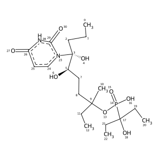 CCC[C@@](O)([C@H](O)CCC(C)(CC)OP(=O)(O)C(O)(CC)CC)n1ccc(=O)[nH]c1=O